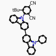 CC(C)(C)c1cc(C#N)cc(C#N)c1-n1c2ccccc2c2cc(-c3ccc4c5ccccc5n(-c5ccccc5)c4c3)ccc21